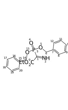 CCOC(=O)C(=N)P(=O)(OCc1ccccc1)OCc1ccccc1